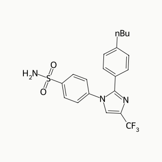 CCCCc1ccc(-c2nc(C(F)(F)F)cn2-c2ccc(S(N)(=O)=O)cc2)cc1